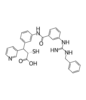 N=C(NCc1ccccc1)Nc1cccc(C(=O)Nc2cccc(C(c3cccnc3)[C@H](S)C(=O)O)c2)c1